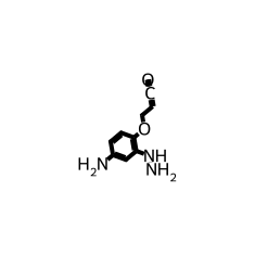 NNc1cc(N)ccc1OCC=C=O